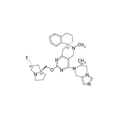 C[C@@H]1Cn2cncc2CN1c1nc(OC[C@@]23CCCN2C[C@H](F)C3)nc2c1CN(C)[C@@]1(CCCc3ccccc31)C2